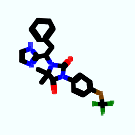 CC1(C)C(=O)N(c2ccc(SC(F)(F)F)cc2)C(=O)N1C(Cc1ccccc1)c1ncc[nH]1